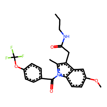 CCCNC(=O)Cc1c(C)n(C(=O)c2ccc(OC(F)(F)F)cc2)c2ccc(OC)cc12